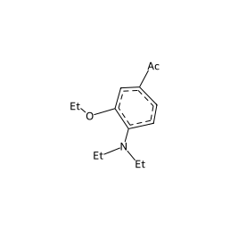 CCOc1cc(C(C)=O)ccc1N(CC)CC